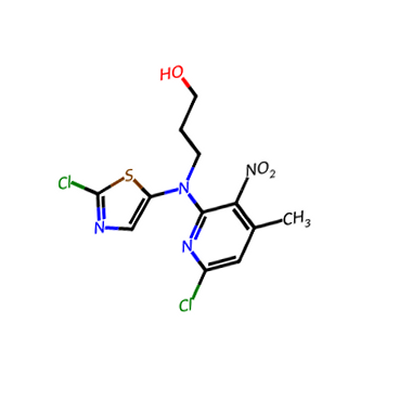 Cc1cc(Cl)nc(N(CCCO)c2cnc(Cl)s2)c1[N+](=O)[O-]